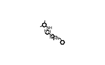 Cc1cc(C)cc(Nc2nccc(-n3cc(CNCc4ccccc4)c(C)n3)n2)c1